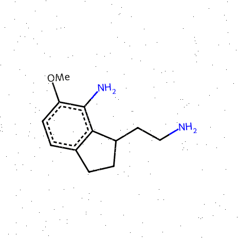 COc1ccc2c(c1N)C(CCN)CC2